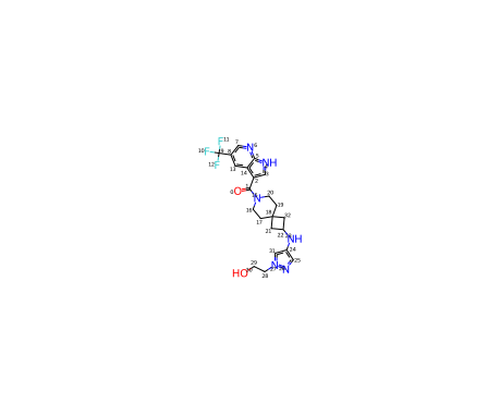 O=C(c1c[nH]c2ncc(C(F)(F)F)cc12)N1CCC2(CC1)CC(Nc1cnn(CCO)c1)C2